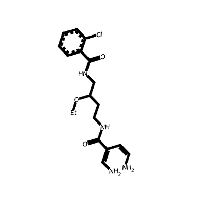 CCOC(CCNC(=O)C(/C=C\N)=C/N)CNC(=O)c1ccccc1Cl